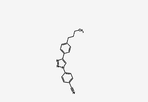 CCCCc1ccc(-c2cn(-c3ccc(C#N)cc3)nn2)cc1